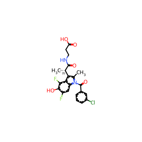 Cc1c([C@H](C)C(=O)NCCC(=O)O)c2c(F)c(O)c(F)cc2n1C(=O)c1cccc(Cl)c1